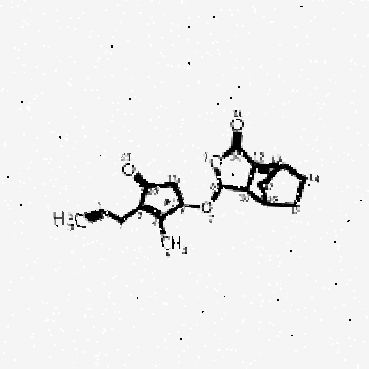 C=CCC1=C(C)[C@H](OC2OC(=O)C3=C4CCC(C4)C32)CC1=O